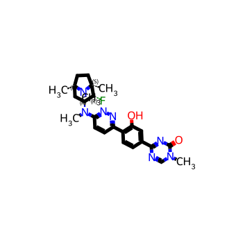 CN(c1ccc(-c2ccc(-c3ncn(C)c(=O)n3)cc2O)nn1)[C@@H]1C[C@@]2(C)CC[C@@](C)([C@@H]1F)N2C